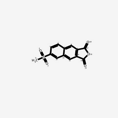 CS(=O)(=O)c1ccc2cc3c(cc2c1)C(=O)OC3=O